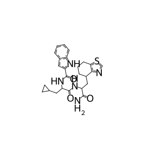 NC(=O)C(CC1CCCc2scnc21)NC(=O)C(CC1CC1)NC(=O)c1cc2ccccc2[nH]1